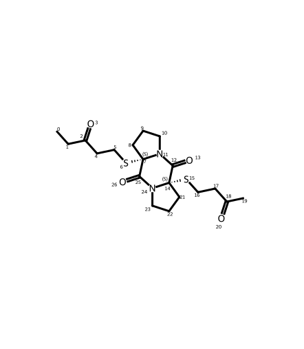 CCC(=O)CCS[C@]12CCCN1C(=O)[C@@]1(SCCC(C)=O)CCCN1C2=O